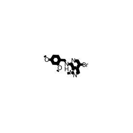 COc1ccc(CNc2ncc(Br)c3cnn(C)c23)c(OC)c1